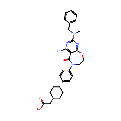 CN(Cc1ccccc1)c1nc(N)c2c(n1)OCCN(c1ccc([C@H]3CC[C@H](CC(=O)O)CC3)cc1)C2=O